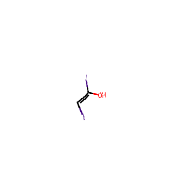 O/C(I)=C\I